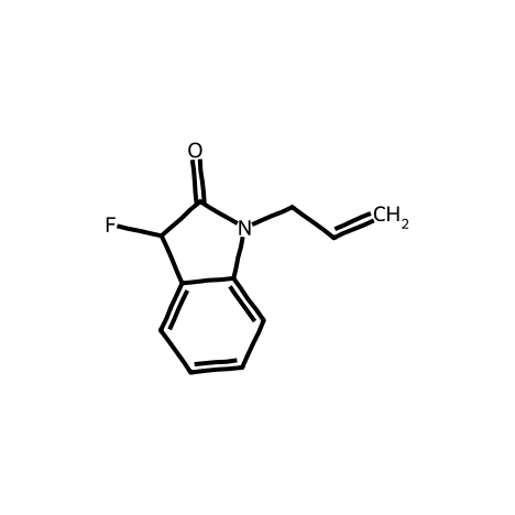 C=CCN1C(=O)C(F)c2ccccc21